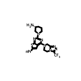 CCCc1cc2c(N3CCn4c(nnc4C(F)(F)F)C3)nc(N3CCC[C@@H](N)C3)nc2s1